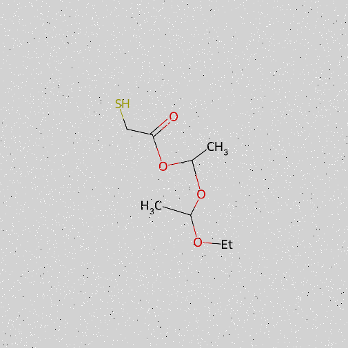 CCOC(C)OC(C)OC(=O)CS